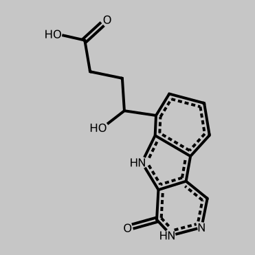 O=C(O)CCC(O)c1cccc2c1[nH]c1c(=O)[nH]ncc12